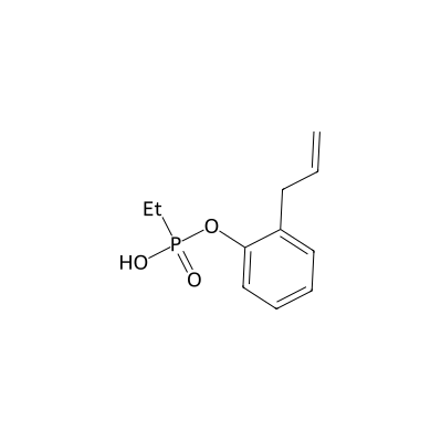 C=CCc1ccccc1OP(=O)(O)CC